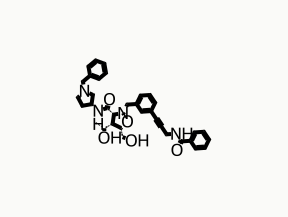 C[C@@H](O)[C@H]1[C@@H](CO)ON(Cc2cccc(C#CCNC(=O)c3ccccc3)c2)[C@H]1C(=O)N[C@@H]1CCN(Cc2ccccc2)C1